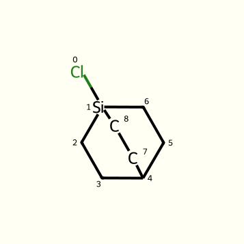 Cl[Si]12CCC(CC1)CC2